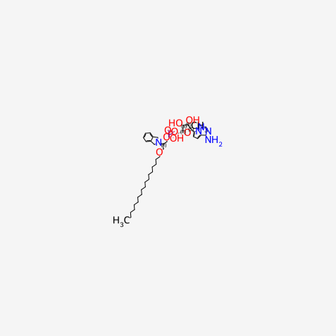 CCCCCCCCCCCCCCCCCCOC[C@H](COP(=O)(O)OC[C@H]1O[C@@](C)(c2ccc3c(N)ncnn23)[C@H](O)[C@@H]1O)N1Cc2ccccc2C1